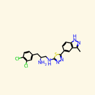 Cc1n[nH]c2ccc(-c3nnc(NC[C@@H](N)Cc4ccc(Cl)c(Cl)c4)s3)cc12